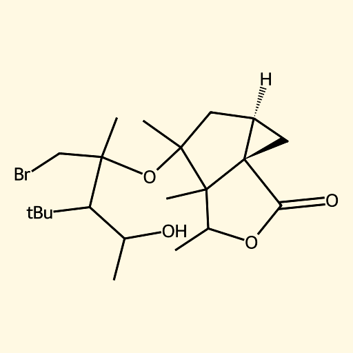 CC(O)C(C(C)(C)C)C(C)(CBr)OC1(C)C[C@H]2C[C@]23C(=O)OC(C)C13C